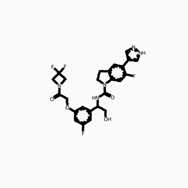 O=C(COc1cc(F)cc(C(CO)NC(=O)N2CCc3cc(-c4cn[nH]c4)c(F)cc32)c1)N1CC(F)(F)C1